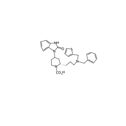 O=C(O)N1CCC(n2c(=O)[nH]c3ccccc32)C[C@@H]1CCCN(Cc1ccccc1)Cc1cccs1